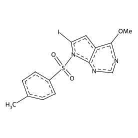 COc1ncnc2c1cc(I)n2S(=O)(=O)c1ccc(C)cc1